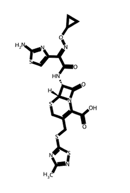 Cc1nsc(SCC2=C(C(=O)O)N3C(=O)[C@@H](NC(=O)/C(=N/OC4CC4)c4csc(N)n4)[C@H]3SC2)n1